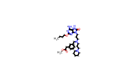 CCCCOc1nc(N)c2[nH]c(=O)n(CCCN(CCCN3CCCCC3)Cc3cccc(CC(=O)OC)c3)c2n1